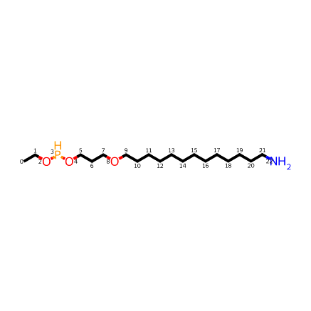 CCOPOCCCOCCCCCCCCCCCCCN